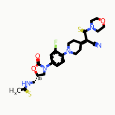 CC(=S)NC[C@H]1CN(c2ccc(N3CCC(=C(C#N)C(=S)N4CCOCC4)CC3)c(F)c2)C(=O)O1